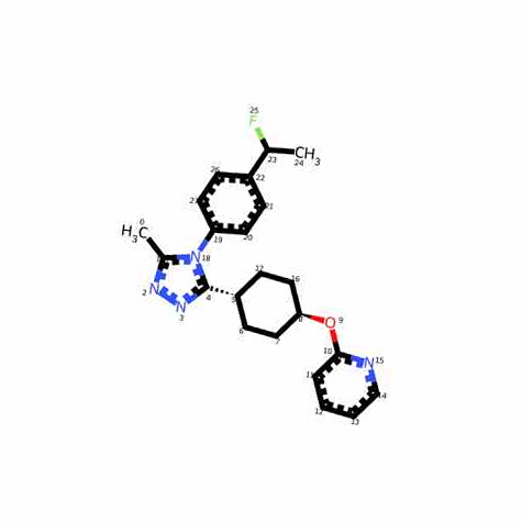 Cc1nnc([C@H]2CC[C@H](Oc3ccccn3)CC2)n1-c1ccc(C(C)F)cc1